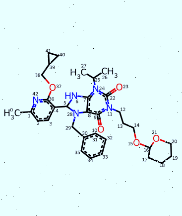 Cc1ccc(C2Nc3c(c(=O)n(CCCOC4CCCCO4)c(=O)n3C(C)C)N2Cc2ccccc2)c(OCC2CC2)n1